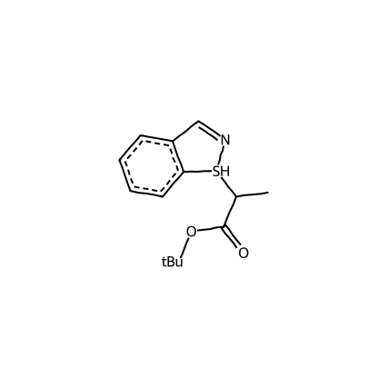 CC(C(=O)OC(C)(C)C)[SH]1N=Cc2ccccc21